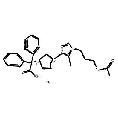 CC(=O)OCCC[n+]1ccn([C@H]2CC[C@H](C(C(N)=O)(c3ccccc3)c3ccccc3)C2)c1C.[Br-]